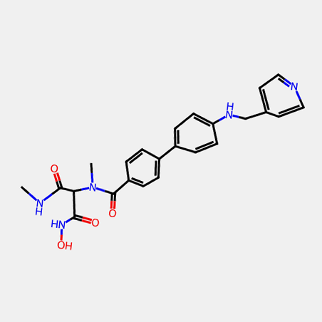 CNC(=O)C(C(=O)NO)N(C)C(=O)c1ccc(-c2ccc(NCc3ccncc3)cc2)cc1